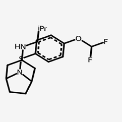 CC(C)CNC1CC2CCC(C1)N2Sc1ccc(OC(F)F)cc1